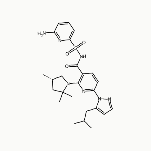 CC(C)Cc1ccnn1-c1ccc(C(=O)NS(=O)(=O)c2cccc(N)n2)c(N2C[C@@H](C)CC2(C)C)n1